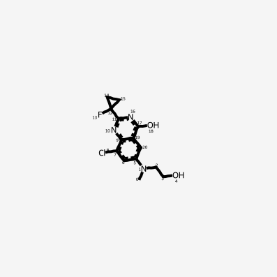 CN(CCO)c1cc(Cl)c2nc(C3(F)CC3)nc(O)c2c1